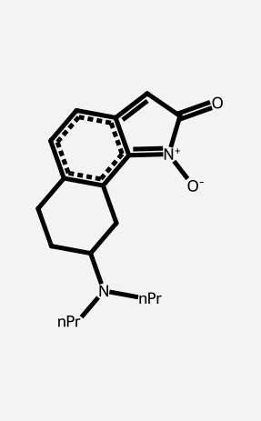 CCCN(CCC)C1CCc2ccc3c(c2C1)=[N+]([O-])C(=O)C=3